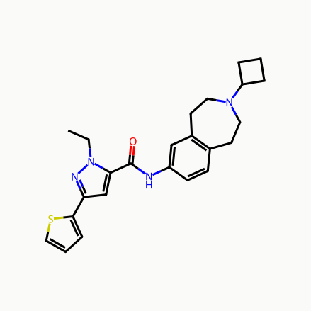 CCn1nc(-c2cccs2)cc1C(=O)Nc1ccc2c(c1)CCN(C1CCC1)CC2